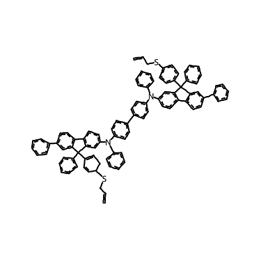 C=CCSc1ccc(C2(c3ccccc3)c3cc(-c4ccccc4)ccc3-c3ccc(N(c4ccccc4)c4ccc(-c5ccc(N(c6ccccc6)c6ccc7c(c6)C(C6=CCC(SCC=C)C=C6)(c6ccccc6)c6cc(-c8ccccc8)ccc6-7)cc5)cc4)cc32)cc1